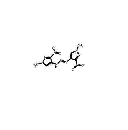 Cn1cc(N=NNc2cn(C)nc2[N+](=O)[O-])c([N+](=O)[O-])n1